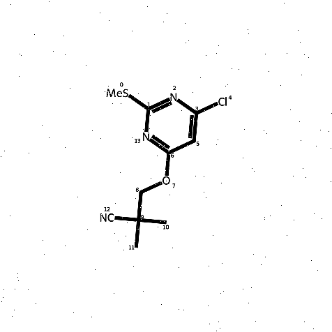 CSc1nc(Cl)cc(OCC(C)(C)C#N)n1